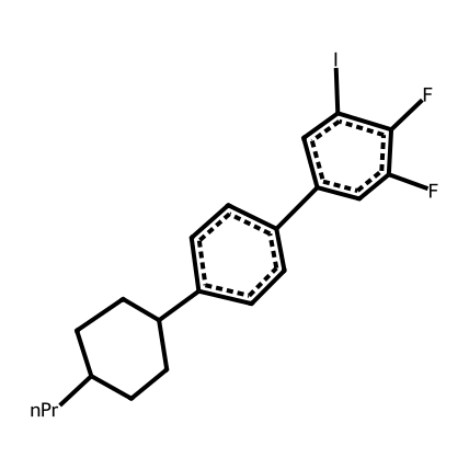 CCCC1CCC(c2ccc(-c3cc(F)c(F)c(I)c3)cc2)CC1